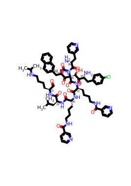 CC(=O)N(C(=O)[C@H](N)Cc1cccnc1)[C@@](C(=O)N[C@@H](CCCCNC(=O)c1cccnc1)C(=O)N[C@H](CCCCNC(=O)c1cccnc1)C(=O)N[C@@H](CC(C)C)C(=O)N[C@H]([C]=O)CCCCNC(C)C)(C(=O)[C@H](N)Cc1ccc2ccccc2c1)C(O)C(=O)[C@H](N)Cc1ccc(Cl)cc1